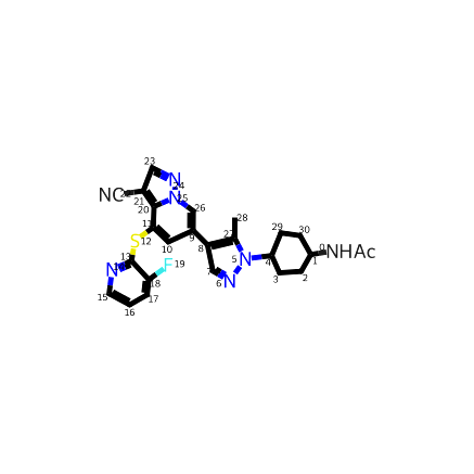 CC(=O)NC1CCC(n2ncc(-c3cc(Sc4ncccc4F)c4c(C#N)cnn4c3)c2C)CC1